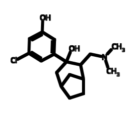 CN(C)CC1C2CCC(C2)CC1(O)c1cc(O)cc(Cl)c1